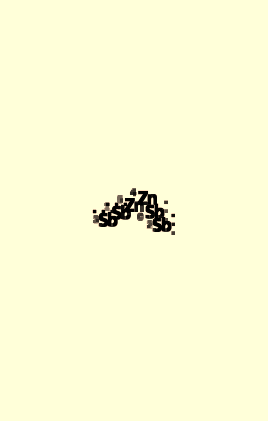 [Sb].[Sb].[Sb].[Sb].[Zn].[Zn]